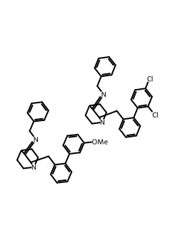 COc1cccc(-c2ccccc2CC2C(=NCc3ccccc3)C3CCN2CC3)c1.Clc1ccc(-c2ccccc2CC2C(=NCc3ccccc3)C3CCN2CC3)c(Cl)c1